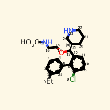 CCc1cccc(-c2c(Cl)cccc2C(OCCNC(=O)O)[C@@H]2CCCNC2)c1